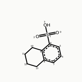 O=S(=O)(O)c1cccc2c1CCCC2